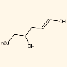 CCCCCC(O)CC=CO